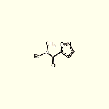 CCN(C)C(=O)c1ccno1